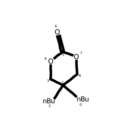 CCCCC1(CCCC)COC(=O)OC1